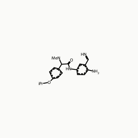 CNC(C(=O)Nc1ccc(N)c(C=N)c1)c1ccc(OC(C)C)cc1